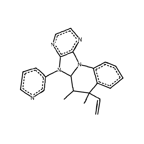 C=CC1(C)c2ccccc2N2c3nccnc3N(c3cccnc3)C2C1C